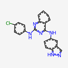 Clc1ccc(Nc2nc(Nc3ccc4[nH]ncc4c3)c3ccccc3n2)cc1